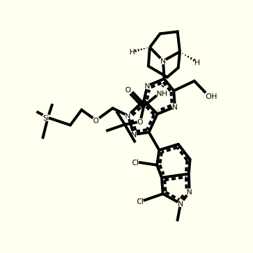 Cn1nc2ccc(-c3nn(COCC[Si](C)(C)C)c4nc(N5[C@@H]6CC[C@H]5C[C@H](NC(=O)OC(C)(C)C)C6)c(CO)nc34)c(Cl)c2c1Cl